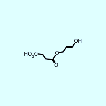 O=C(O)CCC(=O)OCC=CO